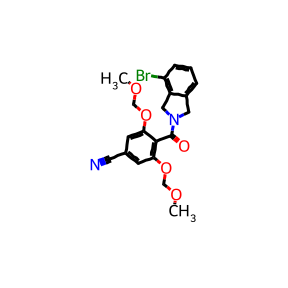 COCOc1cc(C#N)cc(OCOC)c1C(=O)N1Cc2cccc(Br)c2C1